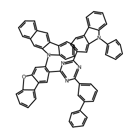 c1ccc(-c2cccc(-c3nc(-c4ccc5c6ccccc6n(-c6ccccc6)c5c4)nc(-c4cc5c(cc4-n4c6ccccc6c6cc7ccccc7cc64)oc4ccccc45)n3)c2)cc1